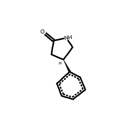 O=C1C[C@H](c2ccccc2)CN1